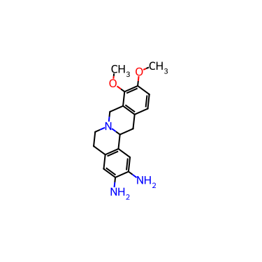 COc1ccc2c(c1OC)CN1CCc3cc(N)c(N)cc3C1C2